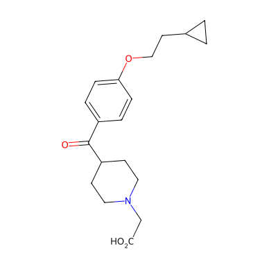 O=C(O)CN1CCC(C(=O)c2ccc(OCCC3CC3)cc2)CC1